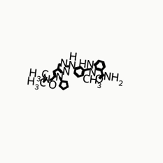 Cc1ccc(Nc2ncc3cc(C(=O)N(C)C)n(C4CCCC4)c3n2)cc1-c1nc2c(C(N)=O)cccc2[nH]1